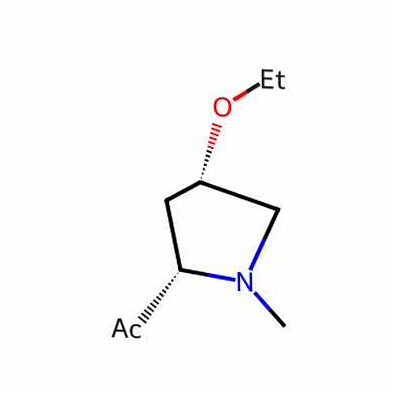 CCO[C@H]1C[C@@H](C(C)=O)N(C)C1